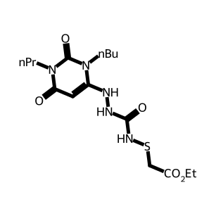 CCCCn1c(NNC(=O)NSCC(=O)OCC)cc(=O)n(CCC)c1=O